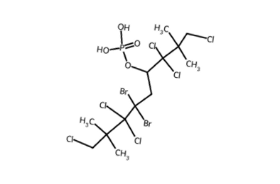 CC(C)(CCl)C(Cl)(Cl)C(CC(Br)(Br)C(Cl)(Cl)C(C)(C)CCl)OP(=O)(O)O